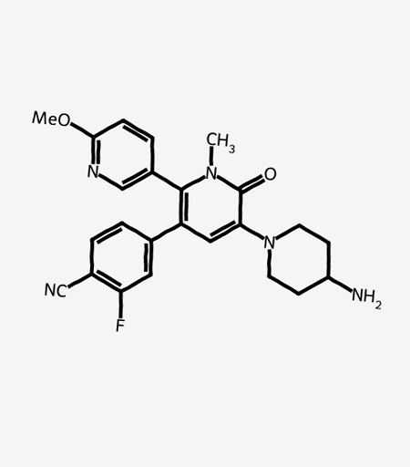 COc1ccc(-c2c(-c3ccc(C#N)c(F)c3)cc(N3CCC(N)CC3)c(=O)n2C)cn1